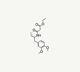 CCOC(=O)CC(=O)NC(CC)Cc1ccc(OC)c(OC)c1